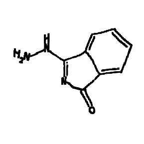 NNC1=NC(=O)c2ccccc21